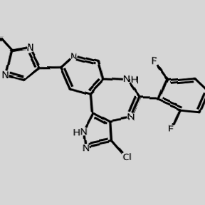 CC1N=CC(c2cc3c(cn2)NC(c2c(F)cccc2F)=Nc2c(Cl)n[nH]c2-3)=N1